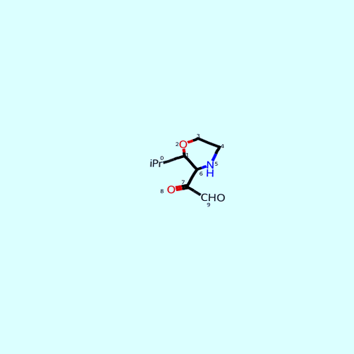 CC(C)C1OCCNC1C(=O)C=O